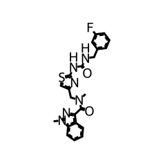 CN(Cc1csc(NC(=O)NCc2cccc(F)c2)n1)C(=O)c1nn(C)c2ccccc12